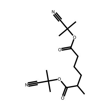 CC(CCCC(=O)OC(C)(C)C#N)C(=O)OC(C)(C)C#N